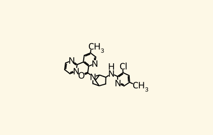 Cc1cnc(NC2CC3CC2N(C(=O)c2ncc(C)cc2-c2ncccn2)C3)c(Cl)c1